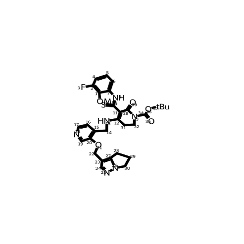 COc1c(F)cccc1NC(=S)C1=C(NCc2ccncc2OCc2cnn3c2CCC3)CCN(C(=O)OC(C)(C)C)C1=O